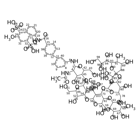 CC(=O)NC1C(Nc2cccc(-c3ccc(C(=O)Nc4cccc5c(S(=O)(=O)O)c(C)cc(S(=O)(=O)O)c45)cc3)c2)OC(CO)C(OC2OC(CO)C(O)C(OC3OC(CO)C(OC4OC(C)C(O)C(O)C4O)C(OC4OC(CO)C(O)C(OC5(C(=O)O)CC(O)C(C)C([C@@H](O)[C@@H](O)CO)O5)C4O)C3NC(C)=O)C2O)C1O